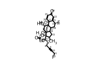 CCC(=O)O[C@]1(C(=O)SCC#CCF)[C@H](C)CC2C3C[C@H](F)C4=CC(=O)C=C[C@]4(C)[C@@]3(F)[C@@H](O)C[C@@]21C